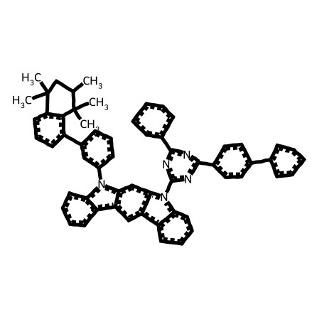 CC1CC(C)(C)c2cccc(-c3cccc(-n4c5ccccc5c5cc6c7ccccc7n(-c7nc(-c8ccccc8)nc(-c8ccc(-c9ccccc9)cc8)n7)c6cc54)c3)c2C1(C)C